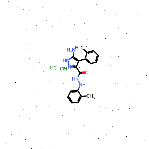 Cc1ccccc1NNC(=O)c1n[nH]c(N)c1-c1ccccc1C.Cl.Cl